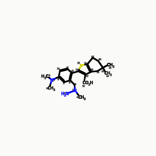 CN(N)Cc1cc(N(C)C)ccc1-c1sc2c(c1C(=O)O)CC(C)(C)CC2